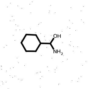 NC(O)C1CCCCC1